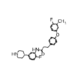 Cc1cc(Oc2ccc(CCC(=O)Nc3cc(C4CCNCC4)ccc3F)cc2)ccc1F